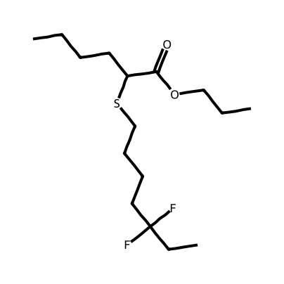 CCCCC(SCCCCC(F)(F)CC)C(=O)OCCC